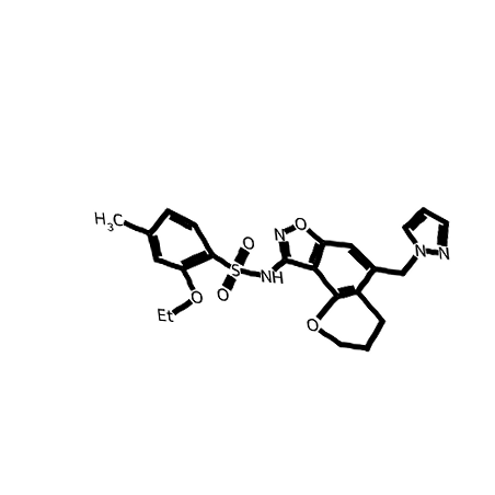 CCOc1cc(C)ccc1S(=O)(=O)Nc1noc2cc(Cn3cccn3)c3c(c12)OCCC3